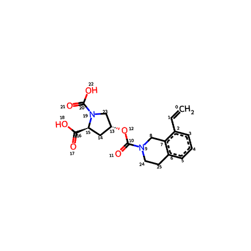 C=Cc1cccc2c1CN(C(=O)O[C@@H]1C[C@@H](C(=O)O)N(C(=O)O)C1)CC2